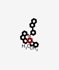 CC1(C)c2ccccc2-c2cc(N(c3cccc(-c4ccc5ccccc5c4)c3)c3cccc4ccc5ccc6ccccc6c5c34)ccc21